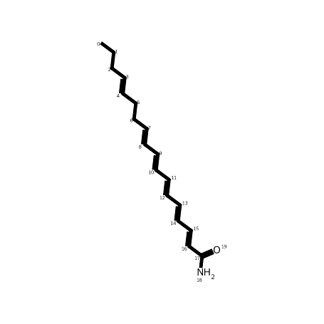 CCC/C=C/CC/C=C/C=C/C=C/C=C/C=C/C(N)=O